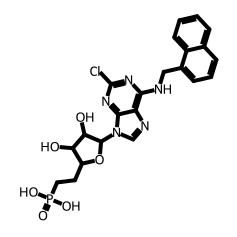 O=P(O)(O)CCC1OC(n2cnc3c(NCc4cccc5ccccc45)nc(Cl)nc32)C(O)C1O